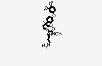 COc1ccc(Oc2ccc([C@]3(C)CCN([C@H](CCCCN)C(=O)NO)C3=O)cc2)cc1OC